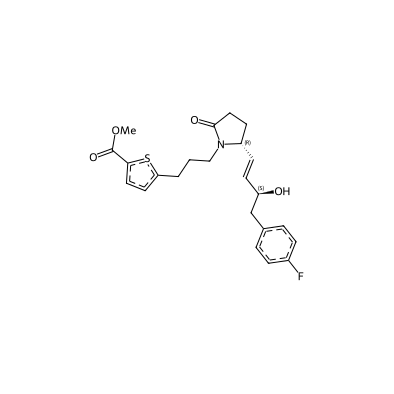 COC(=O)c1ccc(CCCN2C(=O)CC[C@@H]2C=C[C@@H](O)Cc2ccc(F)cc2)s1